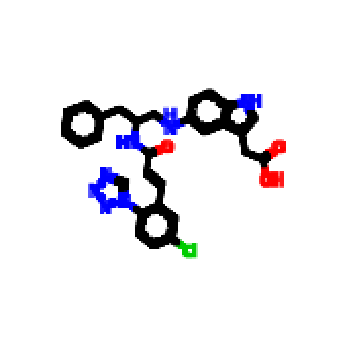 O=C(O)Cc1c[nH]c2ccc(NCC(Cc3ccccc3)NC(=O)C=Cc3cc(Cl)ccc3-n3cnnn3)cc12